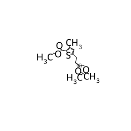 CCOC(=O)c1sc(CC[C@H]2COC(C)(C)O2)cc1C